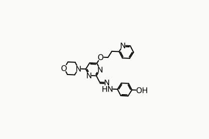 Oc1ccc(N/N=C/c2nc(OCCc3ccccn3)cc(N3CCOCC3)n2)cc1